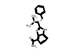 CN(C)[C@H](Cc1ccccc1)c1nc2c(C(N)=O)cccc2[nH]1